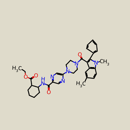 CCOC(=O)C1CCCCC1NC(=O)c1cnc(N2CCN(C(=O)c3c(-c4ccccc4)n(C)c4ccc(C)cc34)CC2)cn1